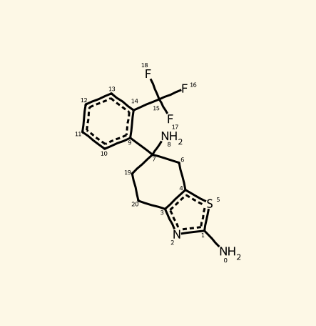 Nc1nc2c(s1)CC(N)(c1ccccc1C(F)(F)F)CC2